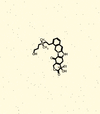 CC[C@@]1(O)C(=O)OCC2=C1CC1=C(C2=O)N2Cc3c(cccc3CC[Si](C)(C)CCCO)C=C2N1